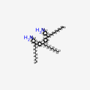 CCCCCCCCCCCC(c1ccc(N)cc1)c1ccc(C(CCCCCCCCCC)c2ccc(C(CCCCCCCCCCC)c3ccc(N)cc3)cc2)cc1